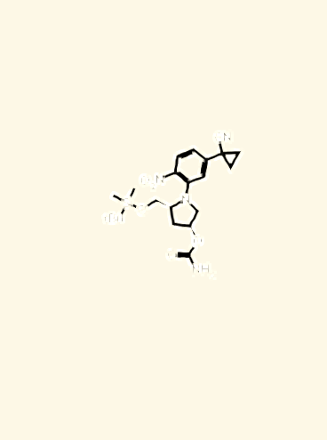 CC(C)(C)[Si](C)(C)OC[C@@H]1C[C@H](OC(N)=O)CN1c1cc(C2(C#N)CC2)ccc1[N+](=O)[O-]